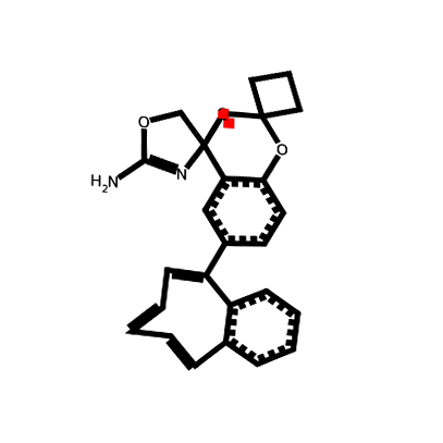 NC1=NC2(CO1)c1cc(/C3=C/C=C/C=C/c4ccccc43)ccc1OC1(CCC1)C21COC1